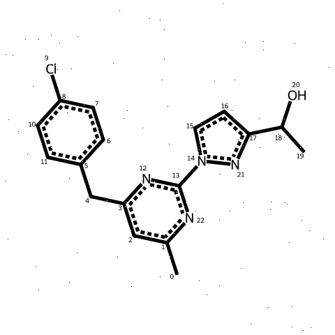 Cc1cc(Cc2ccc(Cl)cc2)nc(-n2ccc(C(C)O)n2)n1